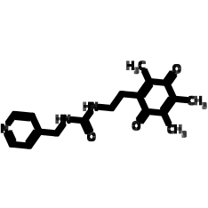 CC1=C(C)C(=O)C(CCNC(=O)NCc2ccncc2)=C(C)C1=O